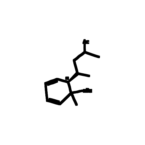 CCCCC1(C)C=CC=C[C@H]1C(C)CC(C)C(C)=O